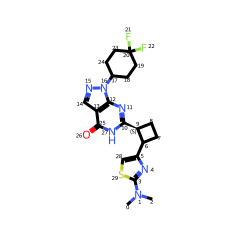 CN(C)c1nc(C2CC[C@@H]2c2nc3c(cnn3C3CCC(F)(F)CC3)c(=O)[nH]2)cs1